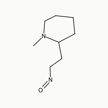 CN1CCCCC1CCN=O